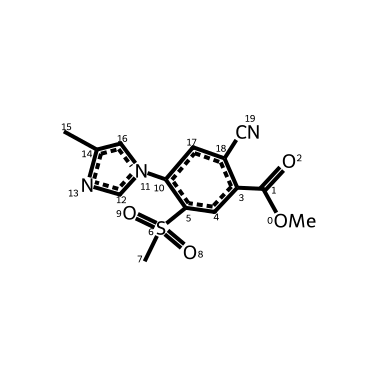 COC(=O)c1cc(S(C)(=O)=O)c(-n2cnc(C)c2)cc1C#N